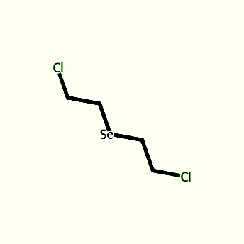 ClCC[Se]CCCl